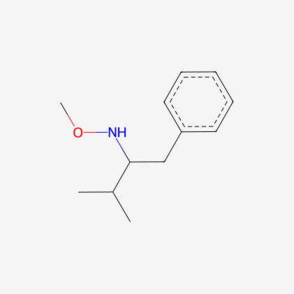 CONC(Cc1ccccc1)C(C)C